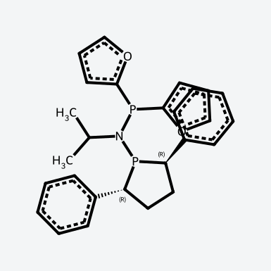 CC(C)N(P(c1ccco1)c1ccco1)P1[C@@H](c2ccccc2)CC[C@@H]1c1ccccc1